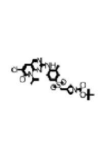 Cc1cc(S(=O)(=O)CC2CN(C(=O)OC(C)(C)C)C2)ccc1Nc1ncc2cc(Cl)c(=O)n(C(C)C)c2n1